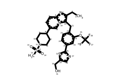 CCc1nc2ccc(C3CCN(S(C)(=O)=O)CC3)cn2c1Cc1ccc(-c2ncc(CO)s2)cc1OC(F)(F)F